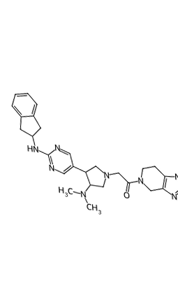 CN(C)C1CN(CC(=O)N2CCc3[nH]nnc3C2)CC1c1cnc(NC2Cc3ccccc3C2)nc1